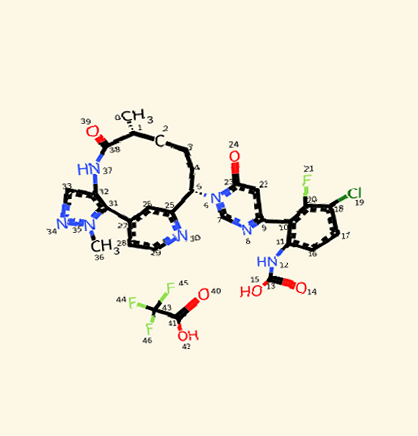 C[C@@H]1CCC[C@H](n2cnc(-c3c(NC(=O)O)ccc(Cl)c3F)cc2=O)c2cc(ccn2)-c2c(cnn2C)NC1=O.O=C(O)C(F)(F)F